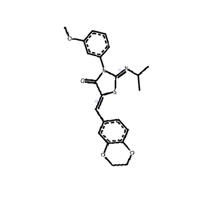 COc1cccc(N2C(=O)/C(=C/c3ccc4c(c3)OCCO4)S/C2=N\C(C)C)c1